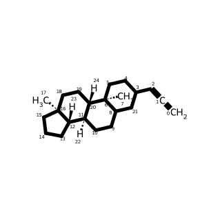 C=C=CC1CC[C@@]2(C)C(CC[C@H]3[C@@H]4CCC[C@@]4(C)CC[C@@H]32)C1